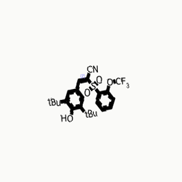 CC(C)(C)c1cc(/C=C(/C#N)S(=O)(=O)c2ccccc2OC(F)(F)F)cc(C(C)(C)C)c1O